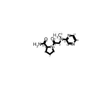 CN(CC(=O)N1CCCC1C(N)=O)c1cnccn1